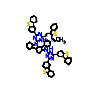 C/C=C\c1sc2ccccc2c1/C=C/C1N=C(c2ccc3c(c2)C2C=CC=CC2S3)N=C(n2c3ccccc3c3ccc4c(c5ccccc5n4C4N=C(c5ccc6sc7ccccc7c6c5)N=C(C5=CC=C6Sc7ccccc7C6C5)N4)c32)N1